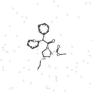 CCC[C@H]1C[C@@H](C(=O)OC)N(C(=O)C(c2ccccc2)c2ccccc2)C1